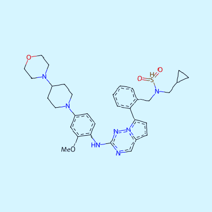 COc1cc(N2CCC(N3CCOCC3)CC2)ccc1Nc1ncc2ccc(-c3ccccc3CN(CC3CC3)[SH](=O)=O)n2n1